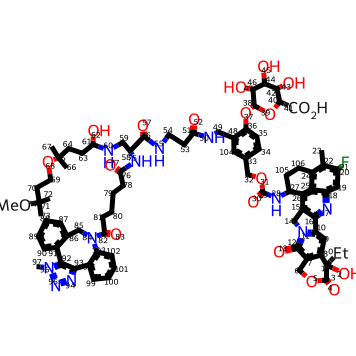 CCC1(O)C(=O)OCc2c1cc1n(c2=O)Cc2c-1nc1cc(F)c(C)c3c1c2C(NC(=O)OCc1ccc(OC2OC(C(=O)O)C(O)C(O)C2O)c(CNC(=O)CCNC(=O)C(CNC(O)CCC(C)(C)OCCC(C)(C)OC)NC(=O)CCCCC(=O)N2Cc4ccccc4-c4c(nnn4C)-c4ccccc42)c1)CC3